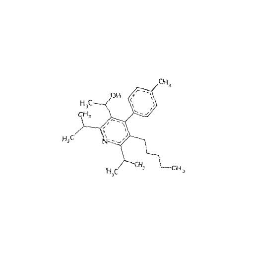 CCCCCc1c(C(C)C)nc(C(C)C)c(C(C)O)c1-c1ccc(C)cc1